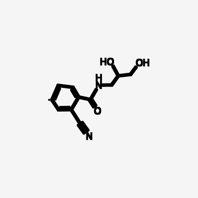 N#Cc1c[c]ccc1C(=O)NCC(O)CO